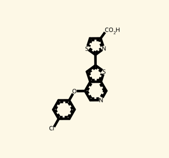 O=C(O)c1csc(-c2cc3c(Oc4ccc(Cl)cc4)cncc3s2)n1